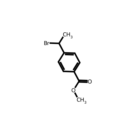 COC(=O)c1ccc(C(C)Br)cc1